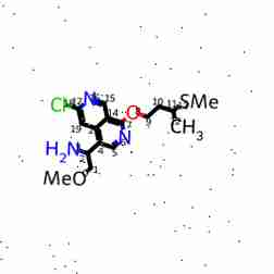 COCC(N)c1cnc(OCCC(C)SC)c2cnc(Cl)cc12